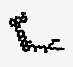 COCCN(CCOC)C(=O)CCCC(=O)Cc1cccc2ncn(Cc3ccc(Cn4nc(-c5cccc(O)c5)c5c(N)ncnc54)cc3Cl)c(=O)c12